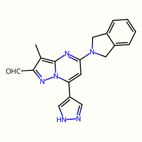 Cc1c(C=O)nn2c(-c3cn[nH]c3)cc(N3Cc4ccccc4C3)nc12